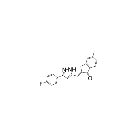 Cc1ccc2c(c1)C/C(=C\c1cc(-c3ccc(F)cc3)n[nH]1)C2=O